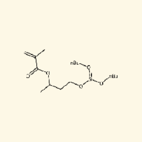 C=C(C)C(=O)OC(C)CCO[SiH](OCCCC)OCCCC